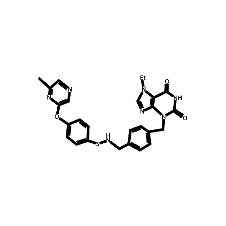 CCn1cnc2c1c(=O)[nH]c(=O)n2Cc1ccc(CNSc2ccc(Oc3cncc(C)n3)cc2)cc1